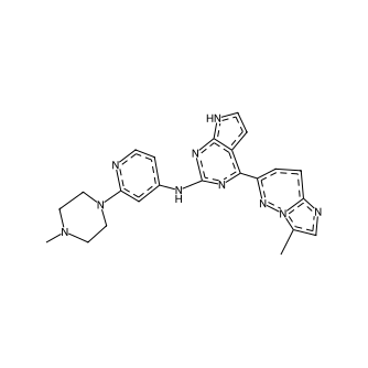 Cc1cnc2ccc(-c3nc(Nc4ccnc(N5CCN(C)CC5)c4)nc4[nH]ccc34)nn12